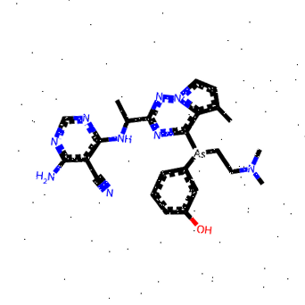 Cc1ccn2nc(C(C)Nc3ncnc(N)c3C#N)nc([As](CCN(C)C)c3cccc(O)c3)c12